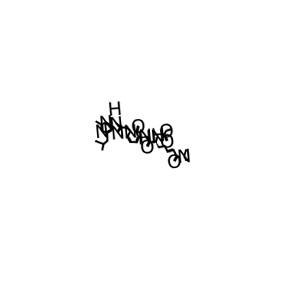 COC(=O)N[C@@H](CC/C=C/C(=O)N(C)C)C(=O)Nc1cccn(Cc2nc3c(CC(C)C)nc(C)nc3[nH]2)c1=O